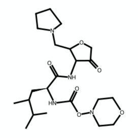 CC(C)C(C)C[C@H](NC(=O)ON1CCOCC1)C(=O)NC1C(=O)COC1CN1CCCC1